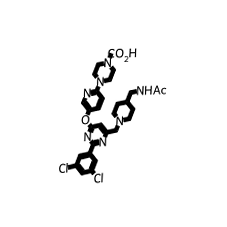 CC(=O)NCC1CCN(Cc2cc(Oc3ccc(N4CCN(C(=O)O)CC4)nc3)nc(-c3cc(Cl)cc(Cl)c3)n2)CC1